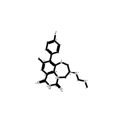 COCO[C@@H]1CSc2c(-c3ccc(F)cc3)c(C)cc3c(=O)[nH]c(=O)n(c23)C1